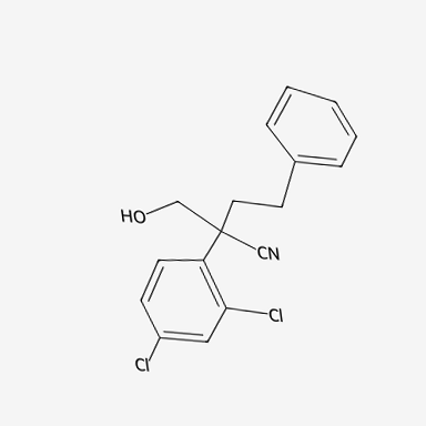 N#CC(CO)(CCc1ccccc1)c1ccc(Cl)cc1Cl